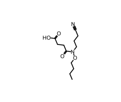 CCCCON(CCCC#N)C(=O)CCC(=O)O